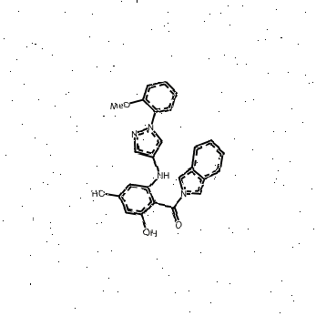 COc1ccccc1-n1cc(Nc2cc(O)cc(O)c2C(=O)n2cc3ccccc3c2)cn1